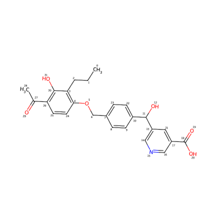 CCCc1c(OCc2ccc(C(O)c3cncc(C(=O)O)c3)cc2)ccc(C(C)=O)c1O